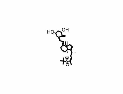 C=C1/C(=C\C=C2/CCC[C@]3(C)C([C@H](C)C/C=C(/C)S(=O)(=O)C(C)(C)C)=CC[C@@H]23)C[C@H](O)C[C@H]1O